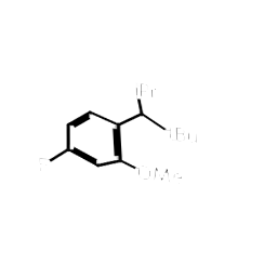 COc1cc(F)ccc1C(C(C)C)C(C)(C)C